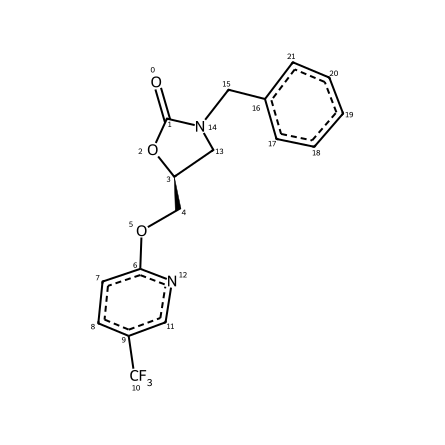 O=C1O[C@H](COc2ccc(C(F)(F)F)cn2)CN1Cc1ccccc1